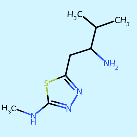 CNc1nnc(CC(N)C(C)C)s1